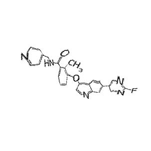 Cc1c(Oc2ccnc3cc(-c4cnc(F)nc4)ccc23)cccc1C(=O)NCc1ccncc1